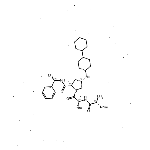 CC[C@@H](NC(=O)[C@@H]1C[C@H](NC2CCC(C3CCCCC3)CC2)CN1C(=O)[C@@H](NC(=O)[C@H](C)NC)C(C)(C)C)c1ccccc1